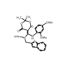 CCCCCCN(Cc1cc2ccccc2s1)C(Nc1ccc(OC)cc1OC)=C1C(=O)OC(C)(C)OC1=O